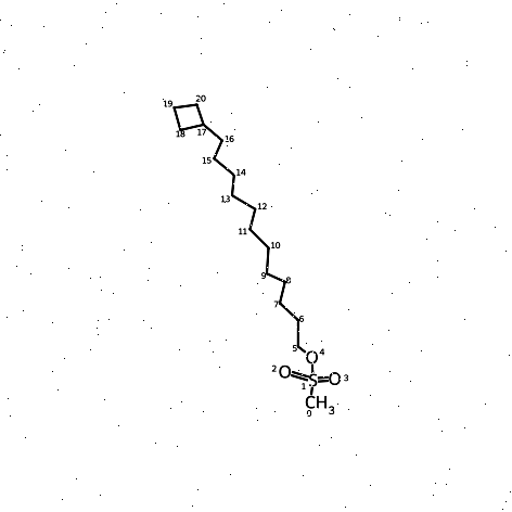 CS(=O)(=O)OCCCCCCCCCCCCC1CCC1